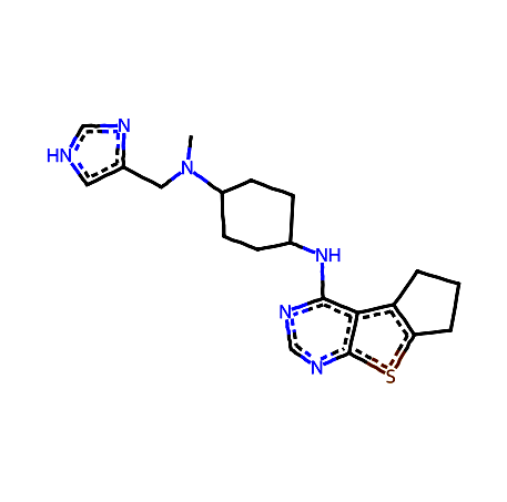 CN(Cc1c[nH]cn1)C1CCC(Nc2ncnc3sc4c(c23)CCC4)CC1